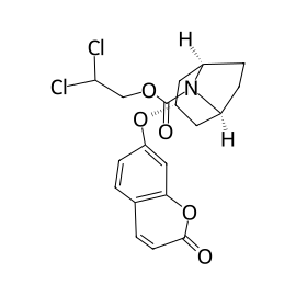 O=C(OCC(Cl)Cl)N1[C@@H]2CC[C@H]1C[C@H](Oc1ccc3ccc(=O)oc3c1)C2